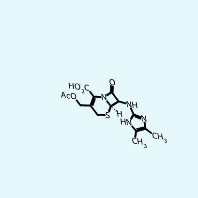 CC(=O)OCC1=C(C(=O)O)N2C(=O)C(Nc3nc(C)c(C)[nH]3)[C@H]2SC1